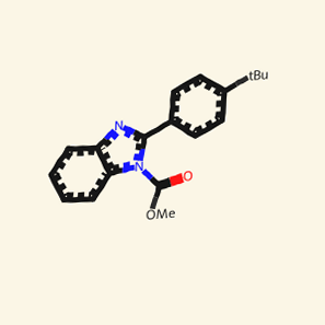 COC(=O)n1c(-c2ccc(C(C)(C)C)cc2)nc2ccccc21